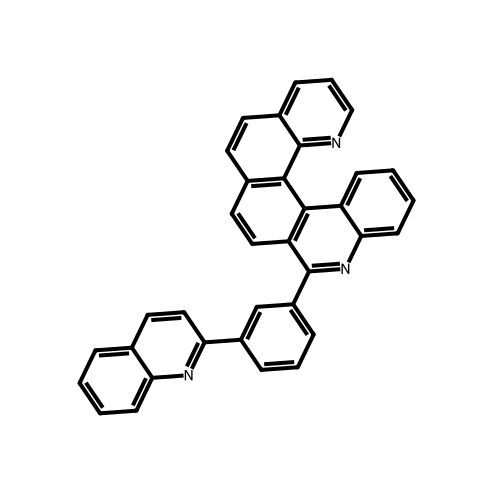 c1cc(-c2ccc3ccccc3n2)cc(-c2nc3ccccc3c3c2ccc2ccc4cccnc4c23)c1